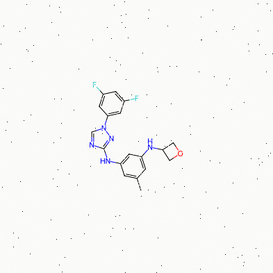 Cc1cc(Nc2ncn(-c3cc(F)cc(F)c3)n2)cc(NC2COC2)c1